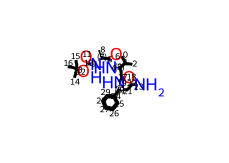 CC(C)[C@H](NC(=O)[C@H](C)NC(=O)OC(C)(C)C)C(=O)N[C@@H](CCN)c1ccccc1